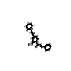 O=C(C=Cc1ccccc1)c1ccc(C#Cc2ccccc2)cc1O